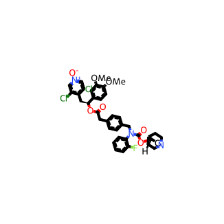 COc1ccc([C@H](Cc2c(Cl)c[n+]([O-])cc2Cl)OC(=O)Cc2ccc(CN(C(=O)O[C@H]3CN4CCC3CC4)c3ccccc3F)cc2)cc1OC